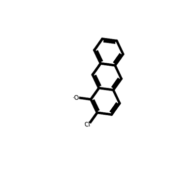 [O]c1c(Cl)ccc2cc3ccccc3cc12